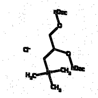 CCCCCCCCCCOCC(C[N+](C)(C)C)OCCCCCCCCCC.[Cl-]